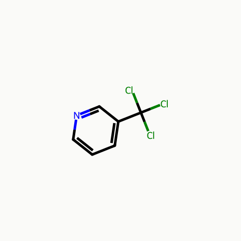 ClC(Cl)(Cl)c1cccnc1